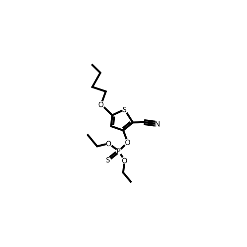 CCCCOc1cc(OP(=S)(OCC)OCC)c(C#N)s1